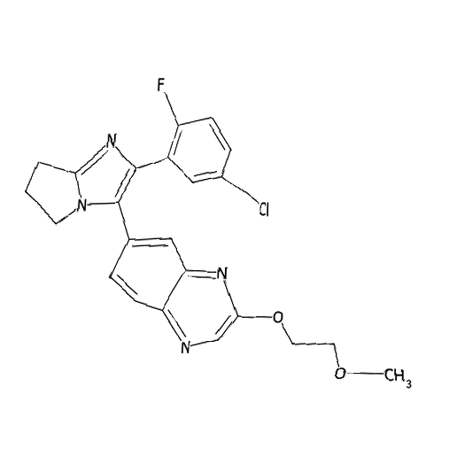 COCCOc1cnc2ccc(-c3c(-c4cc(Cl)ccc4F)nc4n3CCC4)cc2n1